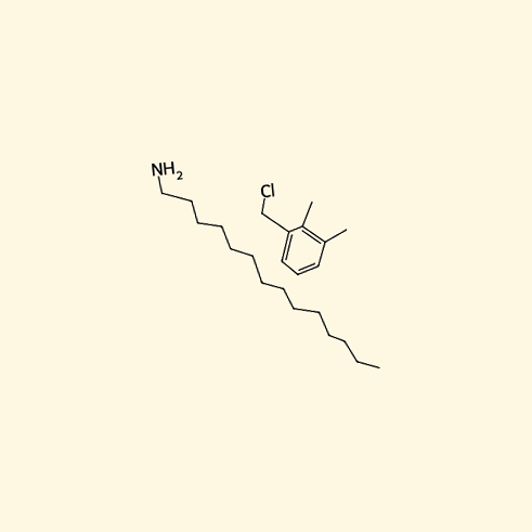 CCCCCCCCCCCCCCN.Cc1cccc(CCl)c1C